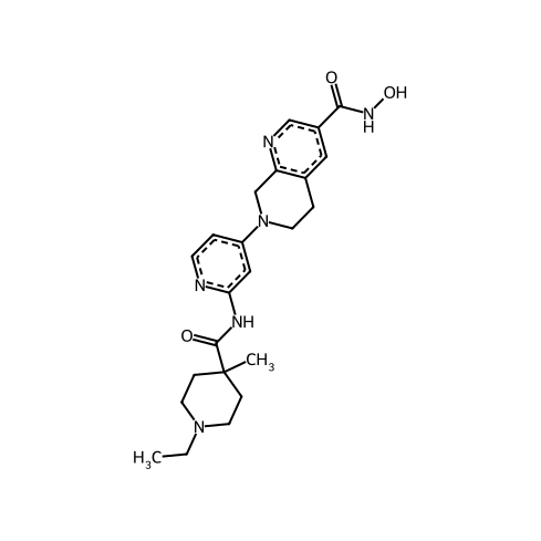 CCN1CCC(C)(C(=O)Nc2cc(N3CCc4cc(C(=O)NO)cnc4C3)ccn2)CC1